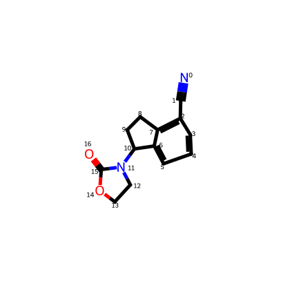 N#Cc1cccc2c1CCC2N1CCOC1=O